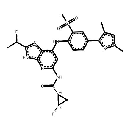 Cc1cn(C)nc1-c1ccc(Nc2cc(NC(=O)[C@@H]3C[C@@H]3F)nc3[nH]c(C(F)F)nc23)c(S(C)(=O)=O)c1